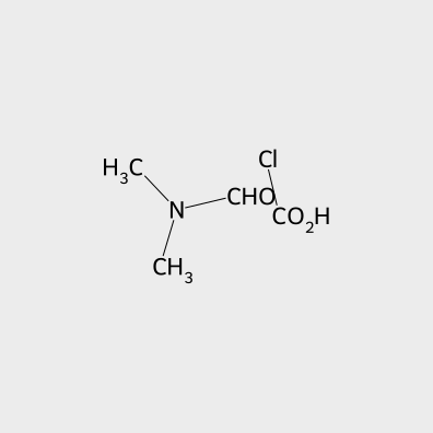 CN(C)C=O.O=C(O)Cl